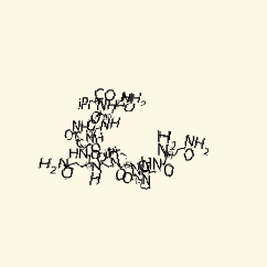 CC(C)C[C@H](NC(=O)[C@@H]1CCCN1C(=O)CNC(=O)[C@@H](N)CCC(N)=O)C(=O)NCC(=O)N[C@@H](CCC(N)=O)C(=O)N[C@@H](CCC(N)=O)C(=O)NCC(=O)N[C@@H](CCC(N)=O)C(=O)N[C@H](C(=O)O)C(C)C